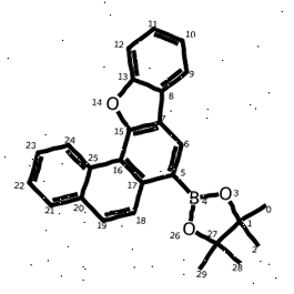 CC1(C)OB(c2cc3c4ccccc4oc3c3c2ccc2ccccc23)OC1(C)C